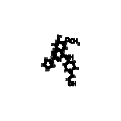 COc1cc2c(NC3CCN(CCO)CC3)nc(N3CCCC3)nc2cc1I